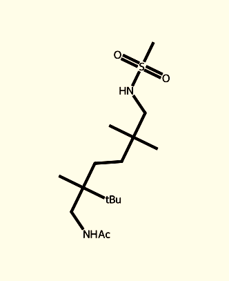 CC(=O)NCC(C)(CCC(C)(C)CNS(C)(=O)=O)C(C)(C)C